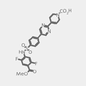 COC(=O)c1cc(F)c(NS(=O)(=O)c2ccc(-c3cnc(C4=CCN(C(=O)O)CC4)nc3)cc2)cc1F